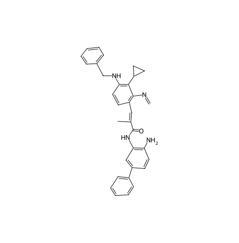 C=Nc1c(/C=C(\C)C(=O)Nc2cc(-c3ccccc3)ccc2N)ccc(NCc2ccccc2)c1C1CC1